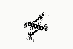 CCOC(=O)CCCCCn1c2ccc([N+](=O)[O-])cc2c(=O)c2cc3c(cc21)c(=O)c1cc([N+](=O)[O-])ccc1n3CCCCCC(=O)OCC